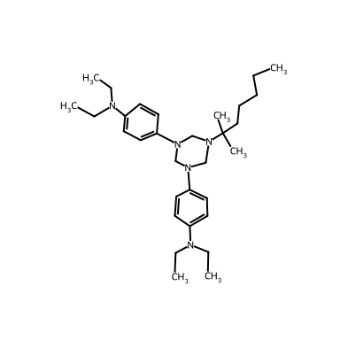 CCCCCC(C)(C)N1CN(c2ccc(N(CC)CC)cc2)CN(c2ccc(N(CC)CC)cc2)C1